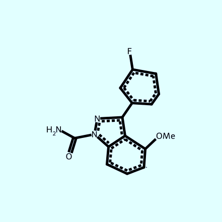 COc1[c]ccc2c1c(-c1cccc(F)c1)nn2C(N)=O